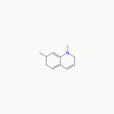 CC1C=C2C(=CC1)C=CCN2C